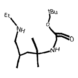 CCNCC(C)C(C)(C)NC(=O)OC(C)(C)C